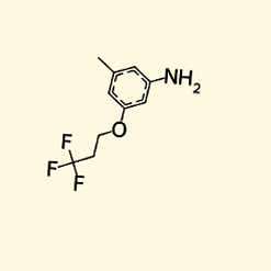 Cc1cc(N)cc(OCCC(F)(F)F)c1